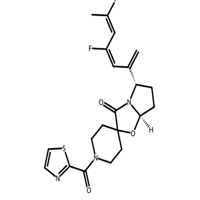 C=C(/C=C(F)\C=C(/C)F)[C@@H]1CC[C@H]2OC3(CCN(C(=O)c4nccs4)CC3)C(=O)N21